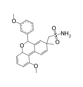 COC1=CC=CC2OC(c3cccc(OC)c3)C3=CC(C)(CS(N)(=O)=O)C=CC3=C12